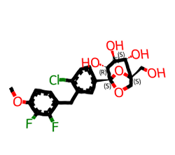 COc1ccc(Cc2cc([C@]34OC[C@](CO)(O3)[C@@H](O)[C@H](O)[C@H]4O)ccc2Cl)c(F)c1F